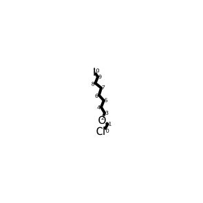 ClCOCCCCCCCI